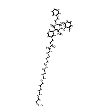 Cc1c(-c2cccc(CCC(=O)NCCOCCOCCOCCOCCOCCOCCC=O)c2)c(=O)n(CCc2ccccc2)c(=O)n1Cc1c(F)cccc1F